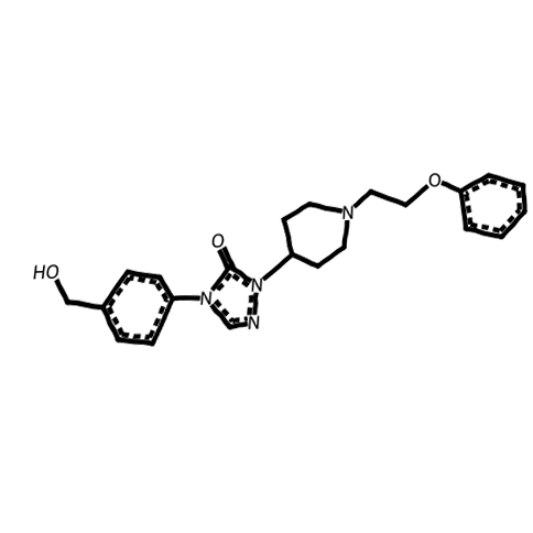 O=c1n(-c2ccc(CO)cc2)cnn1C1CCN(CCOc2ccccc2)CC1